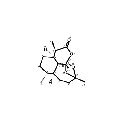 C[C@@H]1CC[C@H]2[C@@H](C)C(=O)O[C@]3(C)O[C@@]4(C)CC[C@@H]1[C@@]23OO4